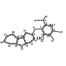 Cc1nc(C(C)C)c(Cc2ccc3sc4ccccc4c3c2)c(O)c1C